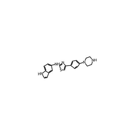 c1cc2cc(Nc3nc(-c4ccc(N5CCNCC5)cc4)cs3)ccc2[nH]1